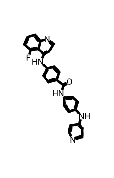 O=C(Nc1ccc(Nc2ccncc2)cc1)c1ccc(Nc2ccnc3cccc(F)c23)cc1